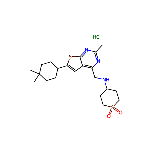 Cc1nc(CNC2CCS(=O)(=O)CC2)c2cc(C3CCC(C)(C)CC3)sc2n1.Cl